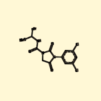 CCCC(NC(=O)N1CC(=O)N(c2cc(Cl)cc(Cl)c2)C1=O)SC